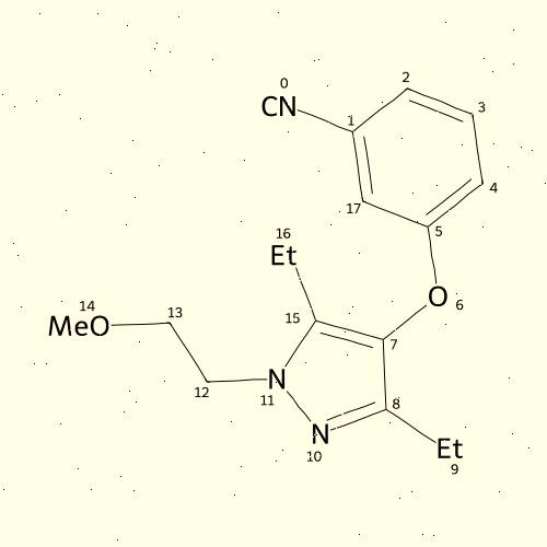 [C-]#[N+]c1cccc(Oc2c(CC)nn(CCOC)c2CC)c1